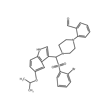 CC(C)Oc1ccc2[nH]cc(C(N3CCN(c4ccccc4C=O)CC3)S(=O)(=O)c3ccccc3Br)c2c1